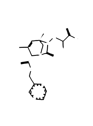 CC1=C[C@H]2CN(C(=O)N2OC(F)C(=O)O)[C@@H]1C(=O)NCc1cnccn1